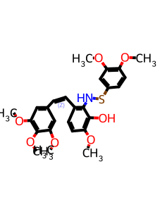 COc1ccc(SNc2c(/C=C\c3cc(OC)c(OC)c(OC)c3)ccc(OC)c2O)cc1OC